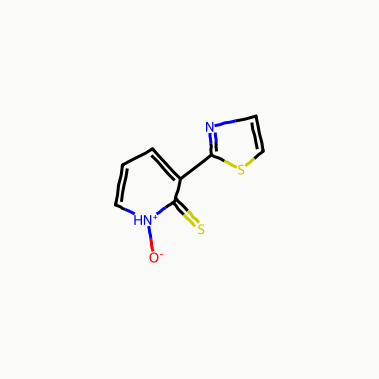 [O-][NH+]1C=CC=C(c2nccs2)C1=S